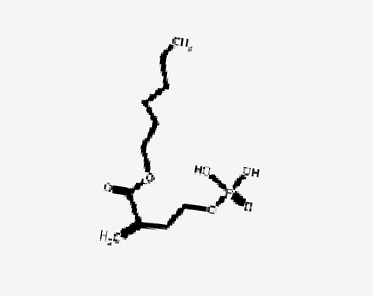 C=C(CCOP(=O)(O)O)C(=O)OCCCCCC